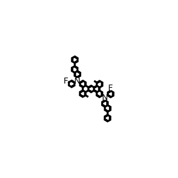 Cc1cccc2c3cc(N(C4=CC(F)CC=C4)c4ccc5cc(-c6ccccc6)ccc5c4)ccc3c3cc4c(cc3c12)c1ccc(N(c2cccc(F)c2)c2ccc3cc(-c5ccccc5)ccc3c2)cc1c1cccc(C)c14